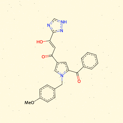 COc1ccc(Cn2cc(C(=O)C=C(O)c3nc[nH]n3)cc2C(=O)c2ccccc2)cc1